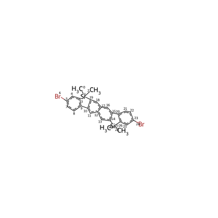 C[Si]1(C)c2cc(Br)ccc2-c2cc3cc4c(cc3cc21)-c1ccc(Br)cc1[Si]4(C)C